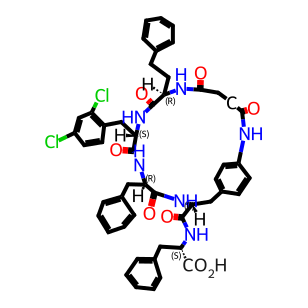 O=C1CCC(=O)N[C@H](CCc2ccccc2)C(=O)N[C@@H](Cc2ccc(Cl)cc2Cl)C(=O)N[C@H](Cc2ccccc2)C(=O)N[C@@H](C(=O)N[C@@H](Cc2ccccc2)C(=O)O)Cc2ccc(cc2)N1